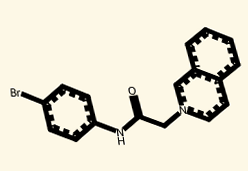 O=C(C[n+]1ccc2ccccc2c1)Nc1ccc(Br)cc1